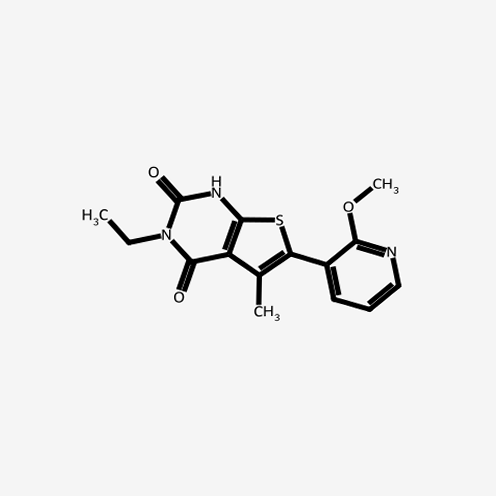 CCn1c(=O)[nH]c2sc(-c3cccnc3OC)c(C)c2c1=O